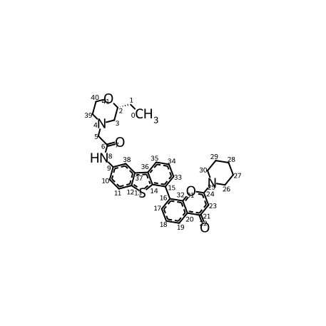 CC[C@@H]1CN(CC(=O)Nc2ccc3sc4c(-c5cccc6c(=O)cc(N7CCCCC7)oc56)cccc4c3c2)CCO1